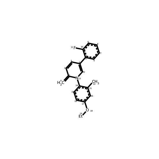 C=C1C=CC(c2ccccc2F)=CN1c1ccc(OCC)cc1C